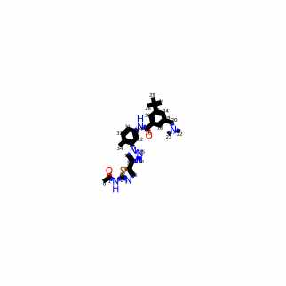 CC(=O)Nc1ncc(-c2cn(-c3cc(NC(=O)c4cc(CN(C)C)cc(C(C)(C)C)c4)ccc3C)nn2)s1